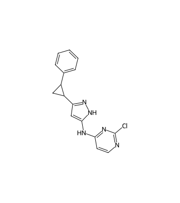 Clc1nccc(Nc2cc(C3CC3c3ccccc3)n[nH]2)n1